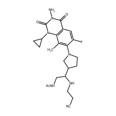 CC(=O)NCC(NCCC#N)C1CCN(c2c(F)cc3c(=O)n(N)c(=O)n(C4CC4)c3c2C)C1